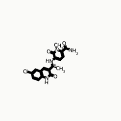 C[C@H](Nc1ccc(C(N)=O)n(C)c1=O)c1cc2cc(Cl)ccc2[nH]c1=O